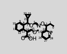 CCC(ON=COC(c1ccccc1C(=COC)C(=O)O)C1CC1)c1ccccn1